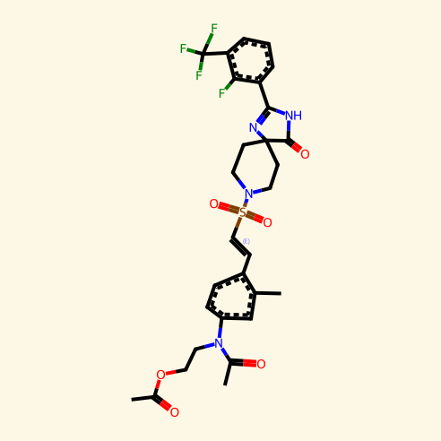 CC(=O)OCCN(C(C)=O)c1ccc(/C=C/S(=O)(=O)N2CCC3(CC2)N=C(c2cccc(C(F)(F)F)c2F)NC3=O)c(C)c1